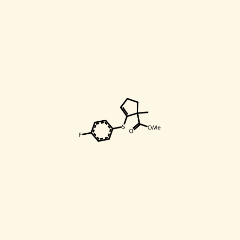 COC(=O)C1(C)CCC=C1Sc1ccc(F)cc1